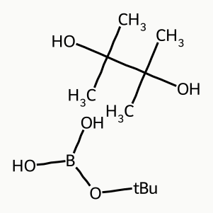 CC(C)(C)OB(O)O.CC(C)(O)C(C)(C)O